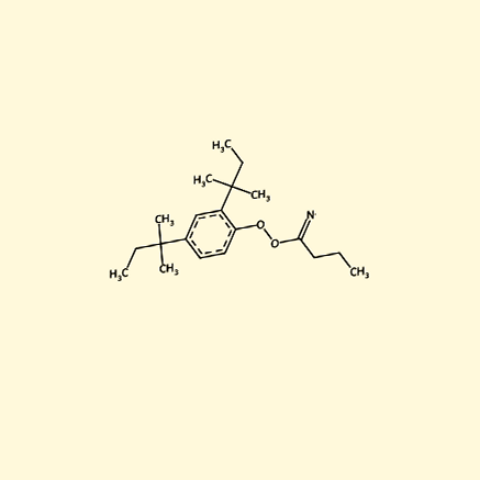 CCCC(=[N])OOc1ccc(C(C)(C)CC)cc1C(C)(C)CC